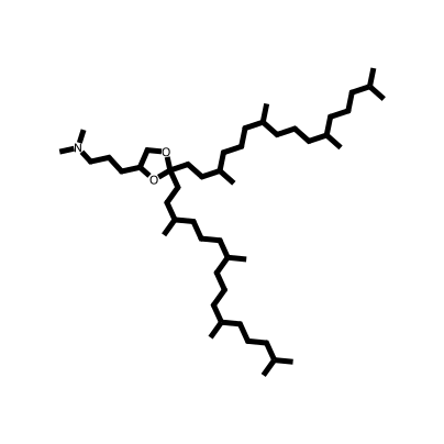 CC(C)CCCC(C)CCCC(C)CCCC(C)CCC1(CCC(C)CCCC(C)CCCC(C)CCCC(C)C)OCC(CCCN(C)C)O1